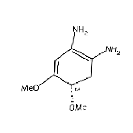 COC1=CC(N)=C(N)C[C@@H]1OC